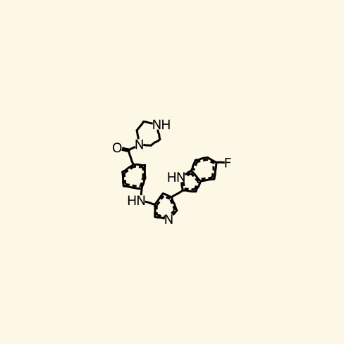 O=C(c1ccc(Nc2cncc(-c3cc4cc(F)ccc4[nH]3)c2)cc1)N1CCNCC1